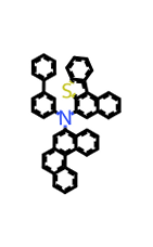 c1ccc(-c2cccc(N(c3cc4ccc5ccccc5c4c4ccccc34)c3cc4ccccc4c4c3sc3ccccc34)c2)cc1